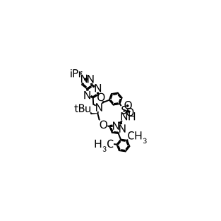 Cc1cccc(C)c1-c1cc2nc(n1)NS(=O)(=O)c1cccc(c1)C(=O)N(Cc1cnc3nn(C(C)C)cc3n1)[C@H](CC(C)(C)C)CO2